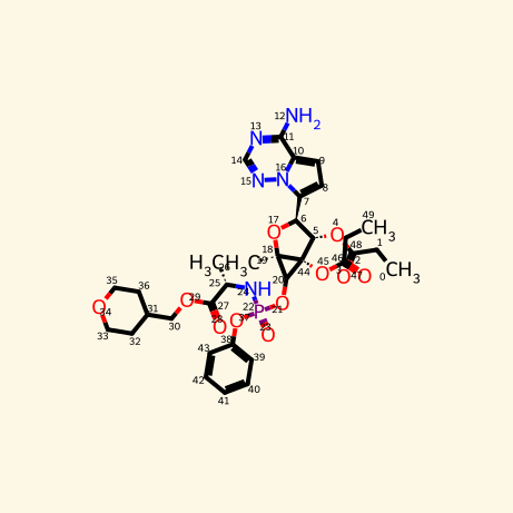 CCC(=O)O[C@H]1[C@H](c2ccc3c(N)ncnn23)O[C@]2(C)C(OP(=O)(N[C@@H](C)C(=O)OCC3CCOCC3)Oc3ccccc3)[C@]12OC(=O)CC